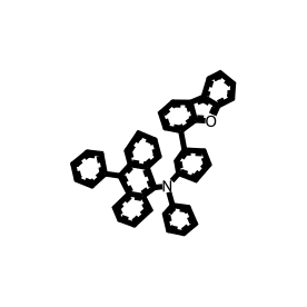 c1ccc(-c2c3ccccc3c(N(c3ccccc3)c3cccc(-c4cccc5c4oc4ccccc45)c3)c3ccccc23)cc1